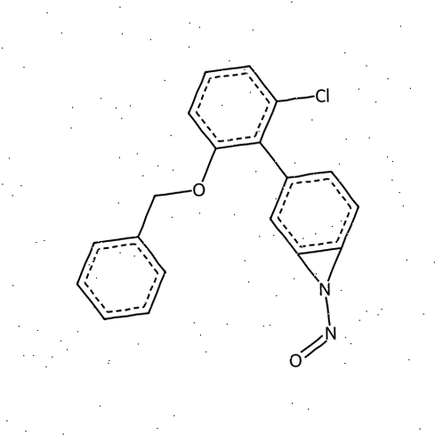 O=NN1c2ccc(-c3c(Cl)cccc3OCc3ccccc3)cc21